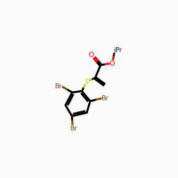 C=C(Sc1c(Br)cc(Br)cc1Br)C(=O)OC(C)C